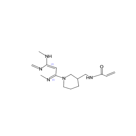 C=CC(=O)NCC1CCCN(C(/C=C(\N=C)NC)=N/C)C1